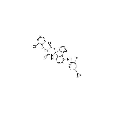 O=C1CC(c2ccsc2)(c2cccc(Nc3ccc(C4CC4)cc3F)n2)NC(=O)C1Sc1ccccc1Cl